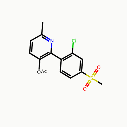 CC(=O)Oc1ccc(C)nc1-c1ccc(S(C)(=O)=O)cc1Cl